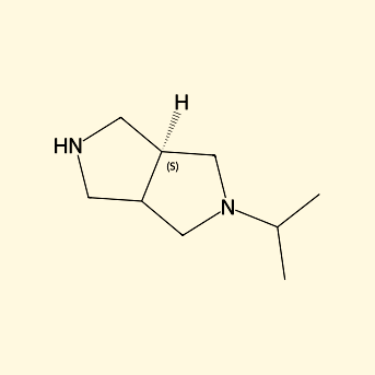 CC(C)N1CC2CNC[C@H]2C1